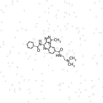 Cc1nnc2c(NC(=O)c3ccccc3)nc3ccc(C(=O)NCCN(C)C)cc3n12